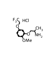 COc1ccc(OCC(F)(F)F)cc1OCC(C)N.Cl